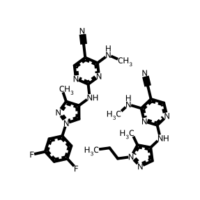 CCCn1ncc(Nc2ncc(C#N)c(NC)n2)c1C.CNc1nc(Nc2cn(-c3cc(F)cc(F)c3)nc2C)ncc1C#N